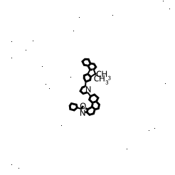 CC1(C)c2cc(-c3cccc(-c4ccc5ccc6ccc7nc(-c8ccccc8)oc7c6c5c4)n3)ccc2-c2c1ccc1ccccc21